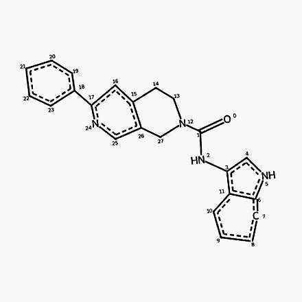 O=C(Nc1c[nH]c2ccccc12)N1CCc2cc(-c3ccccc3)ncc2C1